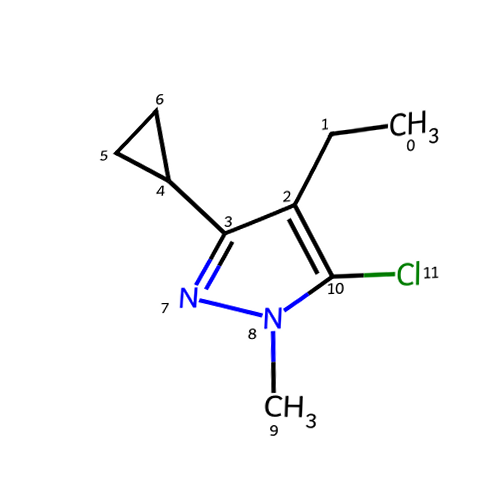 CCc1c(C2CC2)nn(C)c1Cl